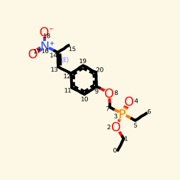 CCOP(=O)(CC)COc1ccc(/C=C(\C)[N+](=O)[O-])cc1